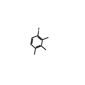 Cc1ccc(F)c(C)c1C